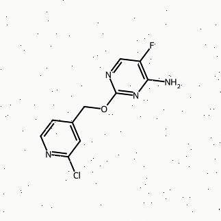 Nc1nc(OCc2ccnc(Cl)c2)ncc1F